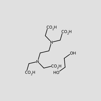 O=C(O)CN(CCN(CC(=O)O)CC(=O)O)CC(=O)O.OCCO